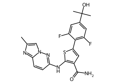 Cc1cn2nc(Nc3sc(-c4c(F)cc(C(C)(C)O)cc4F)cc3C(N)=O)ccc2n1